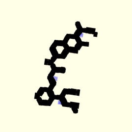 CN/C=C(\C=N)c1ccncc1/C=C/C(=O)Nc1ccc(C/C(C(C)=N)=C(\C)N)cc1